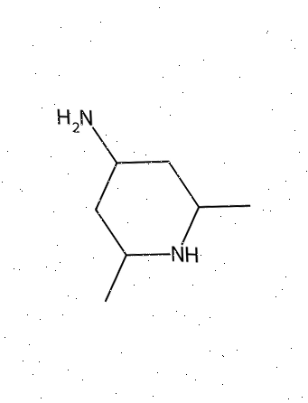 CC1CC(N)CC(C)N1